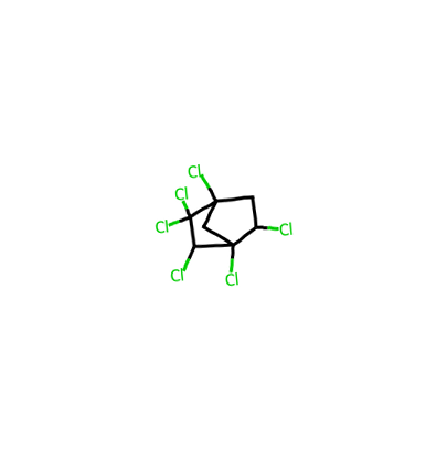 ClC1CC2(Cl)CC1(Cl)C(Cl)C2(Cl)Cl